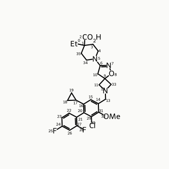 CCC1(C(=O)O)CCN(C2=NOC3(C2)CN(Cc2cc(C4CC4)c(-c4ccc(F)cc4F)c(Cl)c2OC)C3)CC1